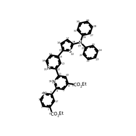 CCOC(=O)c1ccnc(-c2cc(C(=O)OCC)cc(-c3cc(-c4ccc(N(c5ccccc5)c5ccccc5)s4)ccn3)n2)c1